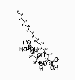 CCCCCCCCCCCCCCCCC(O)C(=O)O.OB(O)O.OCC(O)CO